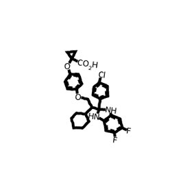 O=C(O)C1(Oc2ccc(OCC(C3CCCCC3)C3(c4ccc(Cl)cc4)Nc4cc(F)c(F)cc4N3)cc2)CC1